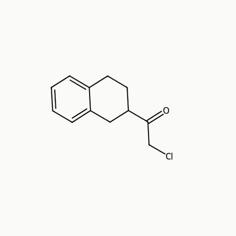 O=C(CCl)C1CCc2ccccc2C1